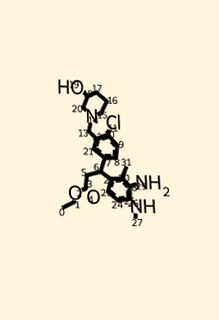 CCOC(=O)CC(c1ccc(Cl)c(CN2CCCC(O)C2)c1)c1ccc(NC)c(N)c1C